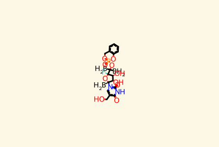 BC(B)(OP1(=O)OCc2ccccc2O1)[C@@]1(F)O[C@@](B)(n2cc(CO)c(=O)[nH]c2=O)[C@H](O)[C@@H]1O